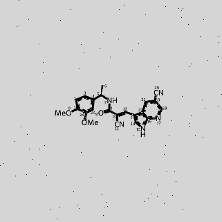 COc1ccc([C@@H](C)NC(=O)/C(C#N)=C/c2c[nH]c3ncc(C#N)cc23)cc1OC